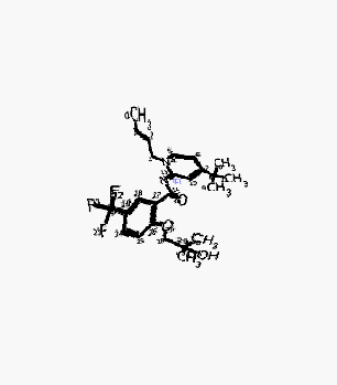 CCCCn1ccc(C(C)(C)C)c/c1=N\C(=O)c1cc(C(F)(F)F)ccc1OCC(C)(C)O